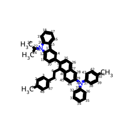 Cc1ccc(CCc2c(-c3ccc4c(c3)c3ccccc3n4C(C)C)ccc3cc(N(c4ccccc4)c4ccc(C)cc4)ccc23)cc1